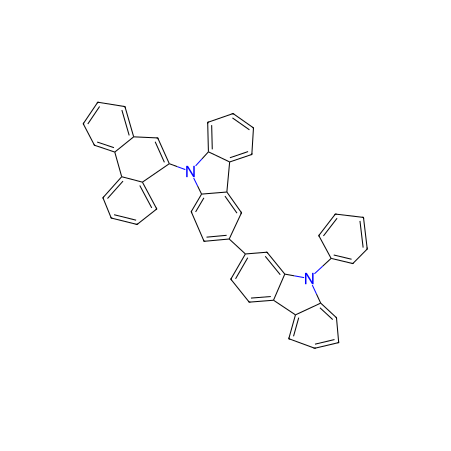 c1ccc(-n2c3ccccc3c3ccc(-c4ccc5c(c4)c4ccccc4n5-c4cc5ccccc5c5ccccc45)cc32)cc1